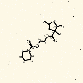 CC(C)CC(C)(C(=O)OCCOC(=O)N1CCCCC1)C(C)C